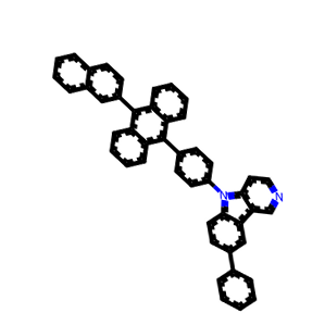 c1ccc(-c2ccc3c(c2)c2cnccc2n3-c2ccc(-c3c4ccccc4c(-c4ccc5ccccc5c4)c4ccccc34)cc2)cc1